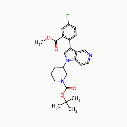 COC(=O)c1cc(F)ccc1-c1cn(C2CCCN(C(=O)OC(C)(C)C)C2)c2ccncc12